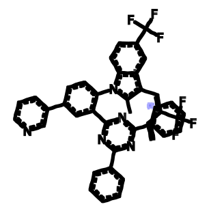 C=C/C(=C\c1c(C)n(-c2ccc(-c3cccnc3)cc2-c2nc(-c3ccccc3)nc(-c3ccccc3)n2)c2ccc(C(F)(F)F)cc12)C(F)(F)F